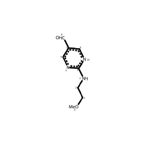 COCCNc1ncc(C=O)cn1